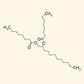 CCCCCCCCCCC(COC(=O)CCCCCCC)OC(=O)CCCCCCC